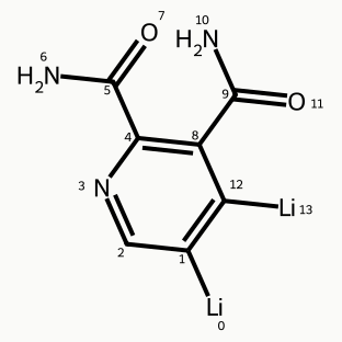 [Li][c]1cnc(C(N)=O)c(C(N)=O)[c]1[Li]